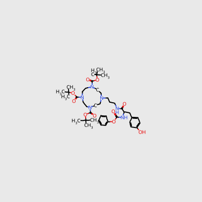 CC(C)(C)OC(=O)N1CCN(CCCNC(=O)C(Cc2ccc(O)cc2)NC(=O)Oc2ccccc2)CCN(C(=O)OC(C)(C)C)CCN(C(=O)OC(C)(C)C)CC1